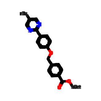 CCCCCCCCOC(=O)c1ccc(COc2ccc(-c3ncc(CCCC)cn3)cc2)cc1